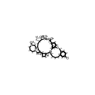 C[C@@H]1[C@@H](C)CCC[C@@](O)(CN2CCCN(C)CC2)[C@@H]2CC[C@H]2CN2CCCCc3cc(Cl)ccc3COc3ccc(cc32)C(=O)NS1(=O)=O